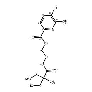 CC(=O)OCC(C)(CO)C(=O)OCCOC(=O)c1ccc(O)c(O)c1